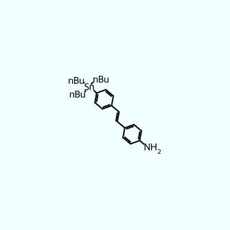 CCC[CH2][Sn]([CH2]CCC)([CH2]CCC)[c]1ccc(C=Cc2ccc(N)cc2)cc1